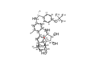 Cc1nc(N[C@H](C)c2ccc(OC(F)(F)F)cc2)nc(N[C@@H]2C[C@H](C(O)CO)[C@@H](O)[C@H]2O)c1-c1nc2c(C)nccc2s1